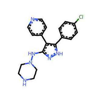 Clc1ccc(-c2[nH]nc(NN3CCNCC3)c2-c2ccncc2)cc1